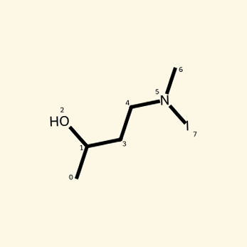 CC(O)CCN(C)I